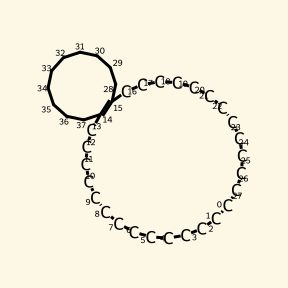 C1CCCCCCCCCCCCCC2=C(CCCCCCCCCCCC1)CCCCCCCCCC2